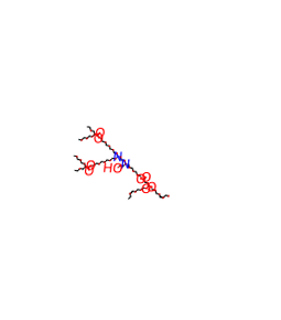 CC/C=C\CCCCOC(CCC(=O)OCCCCCCCN(CCO)CCCN(CCCCCCCCCOC(=O)C(CCCC)CCCCCC)CCCCCCCCCOC(=O)C(CCCC)CCCCCC)OCCCC/C=C\CC